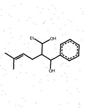 CCC(O)C(CC=C(C)C)C(O)c1ccccc1